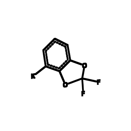 FC1(F)Oc2ccc[c]([K])c2O1